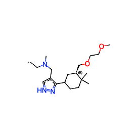 [CH2]CN(C)Cc1c[nH]nc1C1CCC(C)(C)[C@H](COCCOC)C1